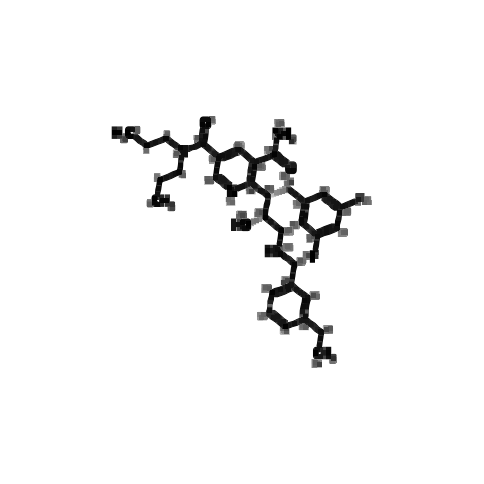 CCCN(CCC)C(=O)c1cnc([C@H](Cc2cc(F)cc(F)c2)[C@@H](O)CNCc2cccc(CC)c2)c(C(N)=O)c1